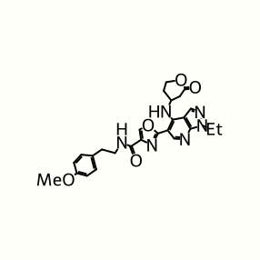 CCn1ncc2c(NC3CCOC(=O)C3)c(-c3nc(C(=O)NCCc4ccc(OC)cc4)co3)cnc21